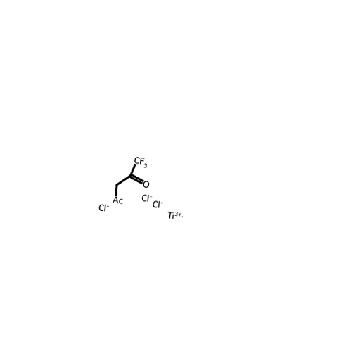 CC(=O)CC(=O)C(F)(F)F.[Cl-].[Cl-].[Cl-].[Ti+3]